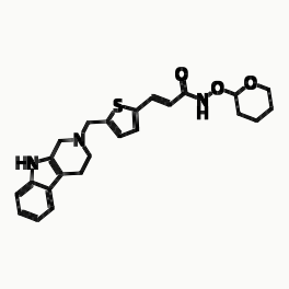 O=C(/C=C/c1ccc(CN2CCc3c([nH]c4ccccc34)C2)s1)NOC1CCCCO1